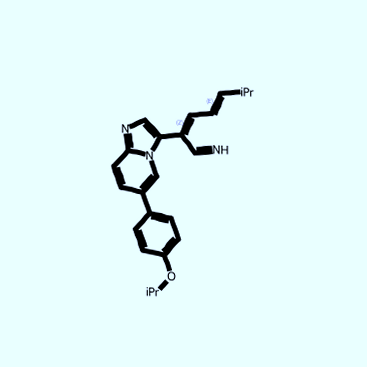 CC(C)/C=C/C=C(\C=N)c1cnc2ccc(-c3ccc(OC(C)C)cc3)cn12